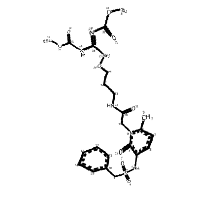 Cc1ccc(NS(=O)(=O)Cc2ccccc2)c(=O)n1CC(=O)NCCCON/C(=N\C(=O)OC(C)(C)C)NC(=O)OC(C)(C)C